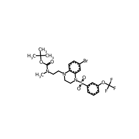 CN(CCN1CCN(S(=O)(=O)c2cccc(OC(F)(F)F)c2)c2cc(Br)ccc21)C(=O)OC(C)(C)C